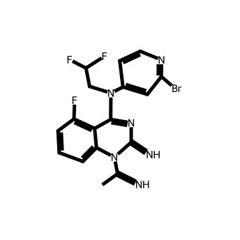 CC(=N)n1c(=N)nc(N(CC(F)F)c2ccnc(Br)c2)c2c(F)cccc21